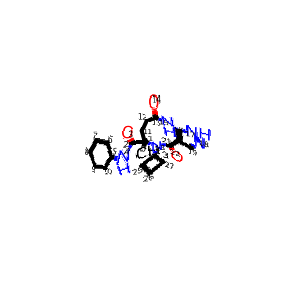 CC1(C(=O)NC2CCCCC2)CCC(=O)Nc2[nH]ncc2C(=O)N1C1CCC1